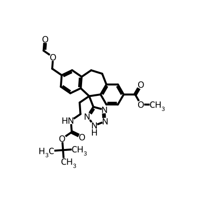 COC(=O)c1ccc2c(c1)CCc1cc(COC=O)ccc1C2(CCNC(=O)OC(C)(C)C)c1nn[nH]n1